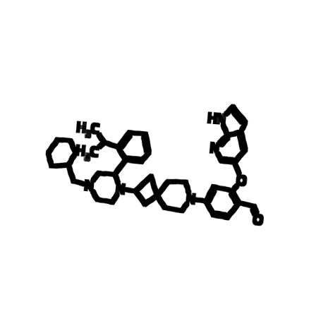 CC(C)c1ccccc1C1CN(CC2CCCCC2)CCN1C1CC2(CCN(c3ccc(C=O)c(Oc4cnc5[nH]ccc5c4)c3)CC2)C1